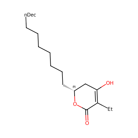 CCCCCCCCCCCCCCCCC[C@@H]1CC(O)=C(CC)C(=O)O1